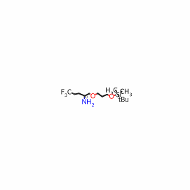 CC(C)(C)[Si](C)(C)OCCCOC[C@@H](N)CCC(F)(F)F